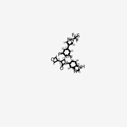 O=C1C(C2COC2)[C@@H](c2c(F)cc(-c3cnn(C(F)(F)F)c3)cc2F)N1c1ccc2[nH]cnc2c1